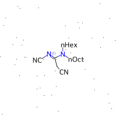 CCCCCCCCN(CCCCCC)/C(CC#N)=N/C#N